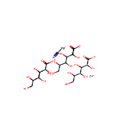 N#[C][Mg+].O=C([O-])C(O)C(O)C(O)C(O)CO.O=C([O-])C(O)C(O)C(O)C(O)CO.O=C([O-])C(O)C(O)C(O)C(O)CO.[Zn+2]